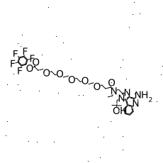 CCN(Cc1nc2c(N)nc3ccccc3c2n1CC(C)(C)O)C(=O)CCOCCOCCOCCOCCOCCC(=O)Oc1c(F)c(F)c(F)c(F)c1F